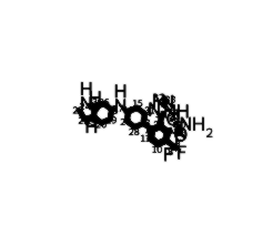 NS(=O)(=O)c1c(C(F)(F)F)ccc(C2CCC(NC3CC[C@H]4CCN[C@H]4C3)CC2)c1-c1nnn[nH]1